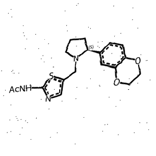 CC(=O)Nc1ncc(CN2CCC[C@H]2c2ccc3c(c2)OCCO3)s1